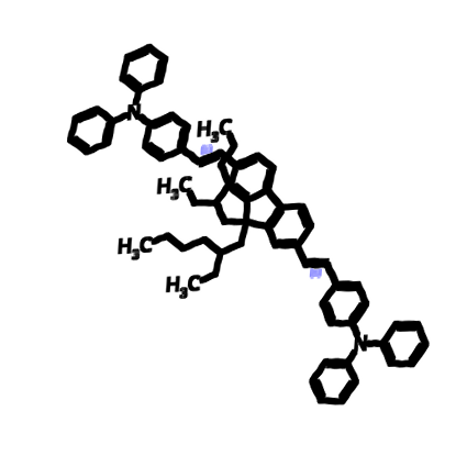 CCCCC(CC)CC1(CC(CC)CCCC)c2cc(/C=C/c3ccc(N(c4ccccc4)c4ccccc4)cc3)ccc2-c2ccc(/C=C/c3ccc(N(c4ccccc4)c4ccccc4)cc3)cc21